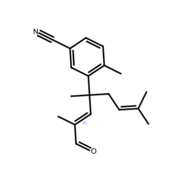 CC(C)=CCC(C)(/C=C(\C)C=O)c1cc(C#N)ccc1C